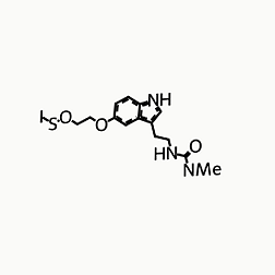 CNC(=O)NCCc1c[nH]c2ccc(OCCOSI)cc12